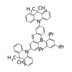 CC(C)c1cc(C(C)C)c(B2c3ccc(N4c5ccccc5C(C)(C)c5ccccc54)cc3Sc3cc(N4c5ccccc5C(C)(C)c5ccccc54)ccc32)c(C(C)C)c1